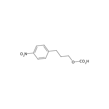 O=C(O)OCCCc1ccc([N+](=O)[O-])cc1